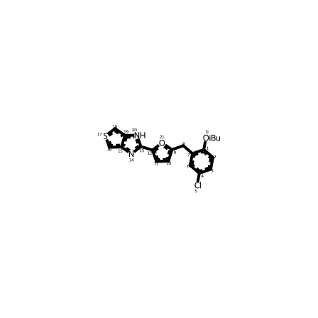 CC(C)COc1ccc(Cl)cc1Cc1ccc(-c2nc3cscc3[nH]2)o1